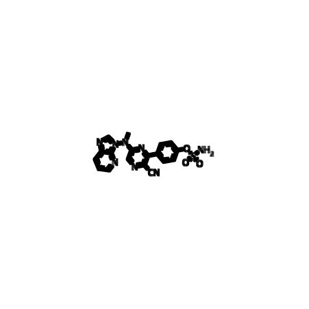 CN(c1cnc(C#N)c(-c2ccc(OS(N)(=O)=O)cc2)n1)n1cnc2cccnc21